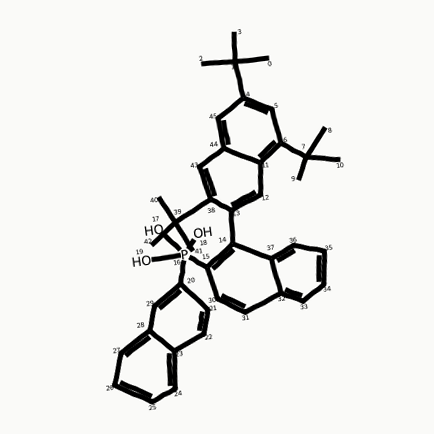 CC(C)(C)c1cc(C(C)(C)C)c2cc(-c3c(P(O)(O)(O)c4ccc5ccccc5c4)ccc4ccccc34)c(C(C)(C)C)cc2c1